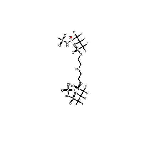 CS(=O)(=O)NS(=O)(=O)C(F)(F)C(F)(F)C(F)(F)S(=O)(=O)OCCNCCOS(=O)(=O)C(F)(F)C(F)(F)C(F)(F)S(=O)(=O)NS(=O)(=O)C(F)(F)F